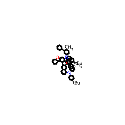 Cc1ccc(N(c2ccc(C(C)(C)C)cc2)c2cc3oc4ccccc4c3c3c2C2(c4ccccc4-c4ccccc42)c2cc4c(N(c5ccc(C(C)(C)C)cc5)c5ccc(C)c(-c6ccccc6)c5)cccc4cc2-3)cc1-c1ccccc1